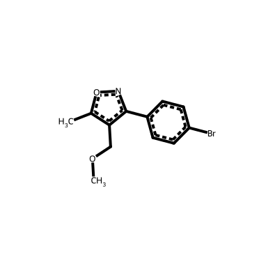 COCc1c(-c2ccc(Br)cc2)noc1C